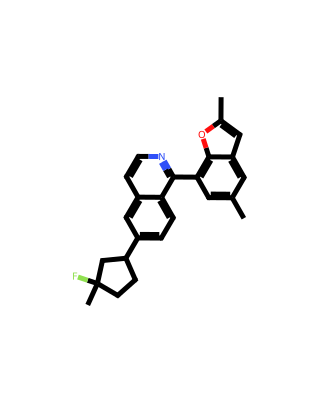 Cc1cc(-c2nccc3cc(C4CCC(C)(F)C4)ccc23)c2oc(C)cc2c1